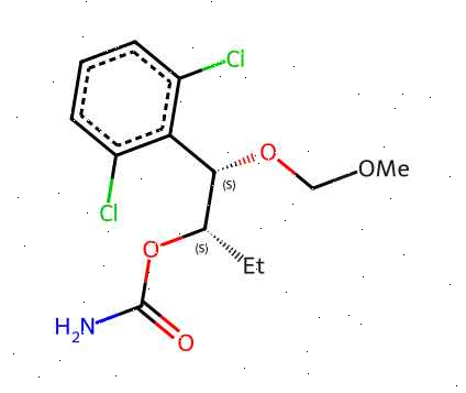 CC[C@H](OC(N)=O)[C@@H](OCOC)c1c(Cl)cccc1Cl